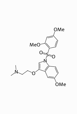 COc1ccc(S(=O)(=O)n2cc(OCCN(C)C)c3cc(OC)ccc32)c(OC)c1